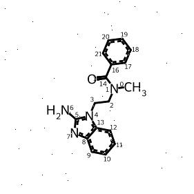 CN(CCn1c(N)nc2ccccc21)C(=O)c1ccccc1